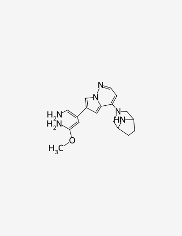 CO/C(N)=C/C(=C\N)c1cc2c(N3CC4CCC(C3)N4)ccnn2c1